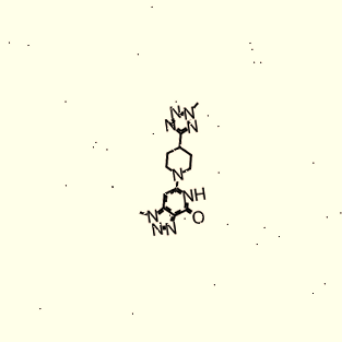 Cn1nnc(C2CCN(c3cc4c(nnn4C)c(=O)[nH]3)CC2)n1